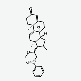 COC(C[S+]([O-])c1ccccc1)=C1C(C)C[C@H]2[C@@H]3CCC4=CC(=O)CC[C@]4(C)C3=CC[C@]12C